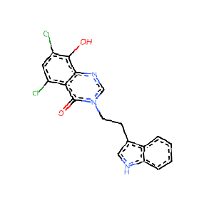 O=c1c2c(Cl)cc(Cl)c(O)c2ncn1CCc1c[nH]c2ccccc12